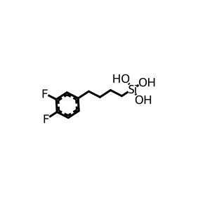 O[Si](O)(O)CCCCc1ccc(F)c(F)c1